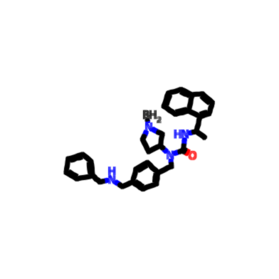 BN1CCC(N(Cc2ccc(CNCc3ccccc3)cc2)C(=O)NC(C)c2cccc3ccccc23)C1